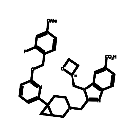 COc1ccc(COc2cccc(C34CCN(Cc5nc6ccc(C(=O)O)cc6n5C[C@@H]5CCO5)CC3C4)n2)c(F)c1